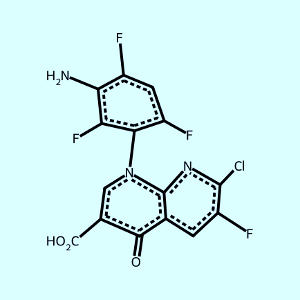 Nc1c(F)cc(F)c(-n2cc(C(=O)O)c(=O)c3cc(F)c(Cl)nc32)c1F